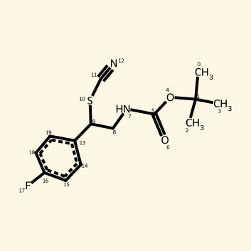 CC(C)(C)OC(=O)NCC(SC#N)c1ccc(F)cc1